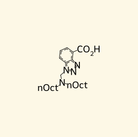 CCCCCCCCN(CCCCCCCC)Cn1nnc2c(C(=O)O)cccc21